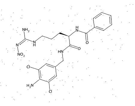 N/C(=N/[N+](=O)[O-])NCCC[C@@H](NC(=O)c1ccccc1)C(=O)NCc1cc(Cl)c(N)c(Cl)c1